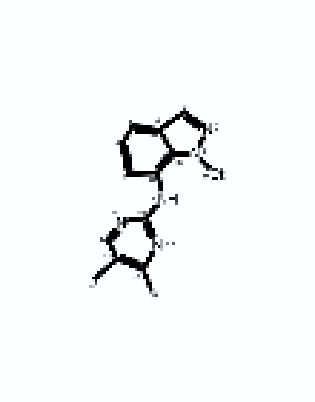 CCn1ncc2cccc(Nc3ncc(C)c(C)n3)c21